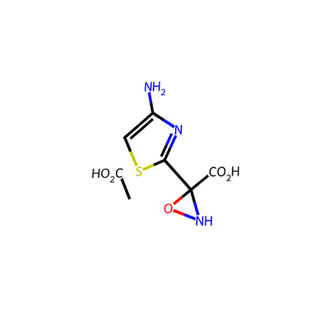 CC(=O)O.Nc1csc(C2(C(=O)O)NO2)n1